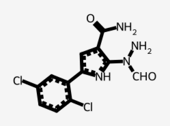 NC(=O)c1cc(-c2cc(Cl)ccc2Cl)[nH]c1N(N)C=O